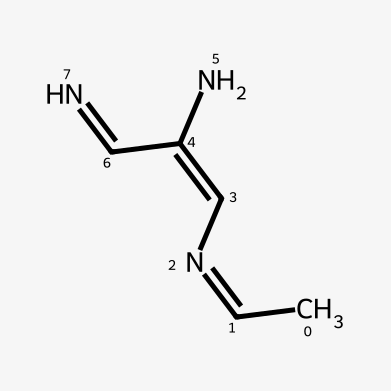 C/C=N\C=C(\N)C=N